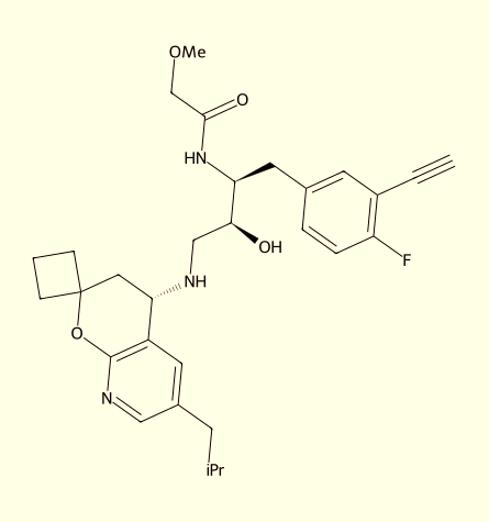 C#Cc1cc(C[C@H](NC(=O)COC)[C@@H](O)CN[C@H]2CC3(CCC3)Oc3ncc(CC(C)C)cc32)ccc1F